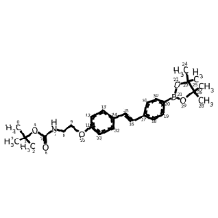 CC(C)(C)OC(=O)NCCOc1ccc(C=Cc2ccc(B3OC(C)(C)C(C)(C)O3)cc2)cc1